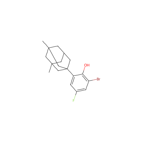 CC12CC3CC(C)(C1)CC(c1cc(F)cc(Br)c1O)(C3)C2